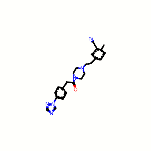 Cc1ccc(CCN2CCN(C(=O)Cc3ccc(-n4cncn4)cc3)CC2)cc1C#N